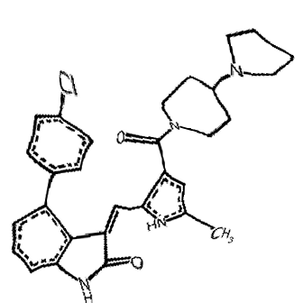 Cc1cc(C(=O)N2CCC(N3CCCC3)CC2)c(/C=C2\C(=O)Nc3cccc(-c4ccc(Cl)cc4)c32)[nH]1